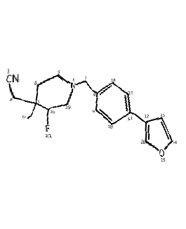 CC1(CC#N)CCN(Cc2ccc(-c3ccoc3)cc2)CC1F